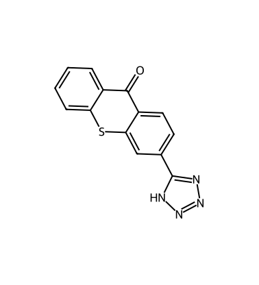 O=c1c2ccccc2sc2cc(-c3nnn[nH]3)ccc12